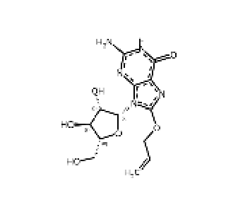 C=CCOc1nc2c(=O)[nH]c(N)nc2n1[C@@H]1O[C@H](CO)[C@@H](O)[C@@H]1O